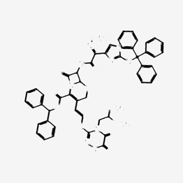 CON=C(C(=O)NC1C(=O)N2C(C(=O)OC(c3ccccc3)c3ccccc3)=C(C=CSc3n[nH]c(=O)c(=O)n3CC(OC)OC)CSC12)c1csc(NC(c2ccccc2)(c2ccccc2)c2ccccc2)n1